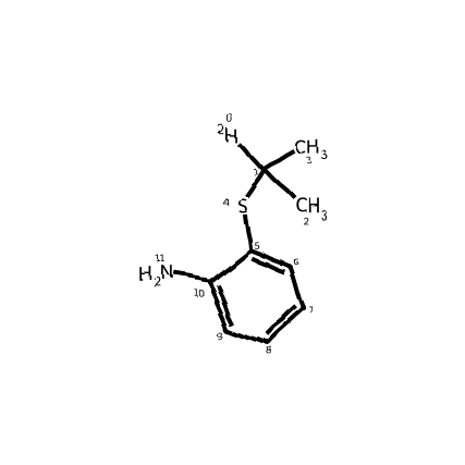 [2H]C(C)(C)Sc1ccccc1N